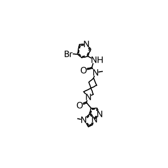 CN(C(=O)Nc1cncc(Br)c1)C1CC2(C1)CN(C(=O)c1cnn3ccn(C)c13)C2